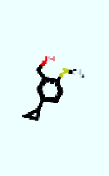 CSc1ccc(C2CC2)cc1[CH]O